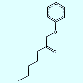 [CH2]CCCCC(=O)COc1ccccc1